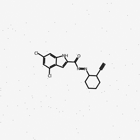 C#CC1CCCCC1N=NC(=O)c1cc2c(Cl)cc(Cl)cc2[nH]1